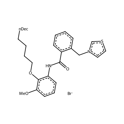 CCCCCCCCCCCCCCOc1c(NC(=O)c2ccccc2C[n+]2ccsc2)cccc1OC.[Br-]